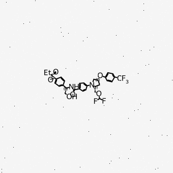 CCS(=O)(=O)c1ccc([C@H](CO)NC(=O)c2ccc(N3C[C@H](Oc4ccc(C(F)(F)F)cc4)C[C@H]3COC(F)F)cc2)cc1